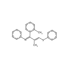 CC(=C\Sc1ccccc1)/C(=N/c1ccccc1)c1ccccc1C